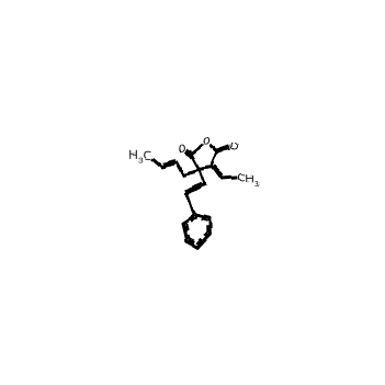 CC=CCC1(C=Cc2ccccc2)C(=O)OC(=O)C1=CC